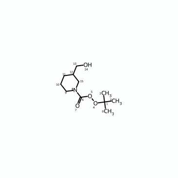 CC(C)(C)OOC(=O)N1CCCC(CO)C1